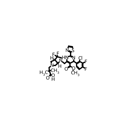 COC(=O)C1=C(CN2CC(F)(F)[C@@H]3CN(CC(C)(C)C(=O)O)C[C@@H]32)NC(c2nccs2)=NC1c1ccc(F)c(F)c1Cl